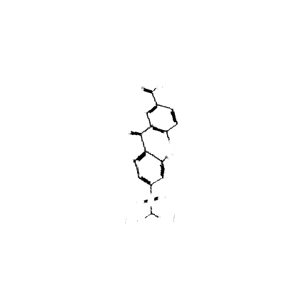 CC(C)S(=O)(=O)c1ccc2c(=O)c3cc(C(=O)O)ccc3oc2c1